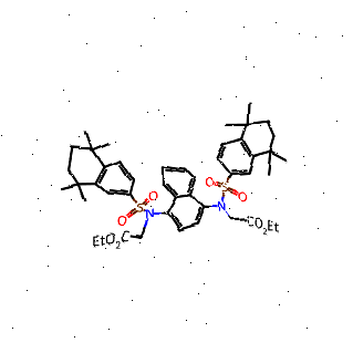 CCOC(=O)CN(c1ccc(N(CC(=O)OCC)S(=O)(=O)c2ccc3c(c2)C(C)(C)CCC3(C)C)c2ccccc12)S(=O)(=O)c1ccc2c(c1)C(C)(C)CCC2(C)C